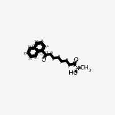 CN(O)C(=O)CCCCCCC(=O)c1cccc2ccccc12